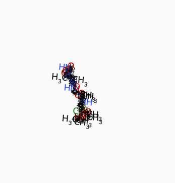 C[C@H]1CN(C(=O)Nc2cccc(CS(=O)(=O)N3CC[C@H](Nc4cccc(-c5sc(C(=O)OC(C)(C)C)c(OCC(=O)OC(C)(C)C)c5Cl)c4)CC3(C)C)c2)CCN1c1ccc2c(c1)n(C)c(=O)n2C1CCC(=O)NC1=O